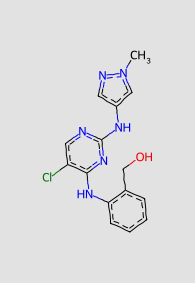 Cn1cc(Nc2ncc(Cl)c(Nc3ccccc3CO)n2)cn1